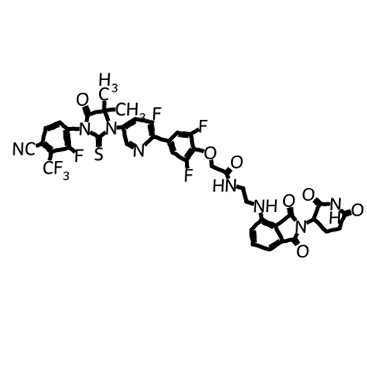 CC1(C)C(=O)N(c2ccc(C#N)c(C(F)(F)F)c2F)C(=S)N1c1cnc(-c2cc(F)c(OCC(=O)NCCNc3cccc4c3C(=O)N(C3CCC(=O)NC3=O)C4=O)c(F)c2)c(F)c1